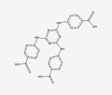 O=C(O)c1ccc(Nc2nc(Nc3ccc(C(=O)O)cc3)nc(Nc3ccc(C(=O)O)cc3)n2)cc1